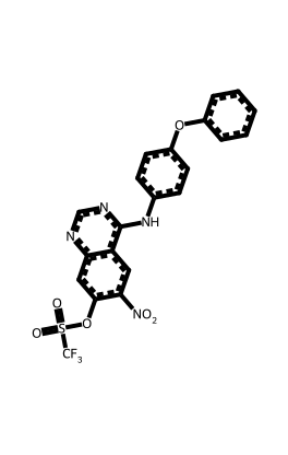 O=[N+]([O-])c1cc2c(Nc3ccc(Oc4ccccc4)cc3)ncnc2cc1OS(=O)(=O)C(F)(F)F